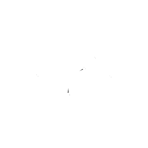 Cc1nc2cnc3ccsc3c2n1[C@@H]1CC[C@@H](CC#N)[C@H](O)C1